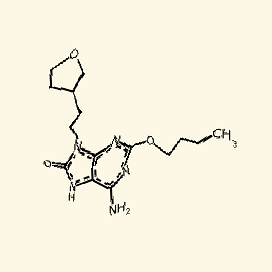 CCCCOc1nc(N)c2[nH]c(=O)n(CC[C@H]3CCOC3)c2n1